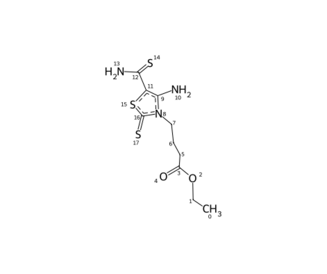 CCOC(=O)CCCn1c(N)c(C(N)=S)sc1=S